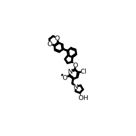 COc1nc(O[C@H]2CCc3c(-c4ccc5c(c4)OCCO5)cccc32)c(Cl)cc1CN1CC[C@H](O)C1